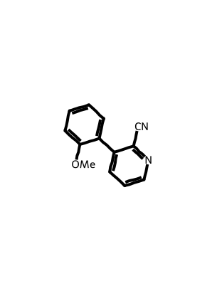 COc1ccccc1-c1cccnc1C#N